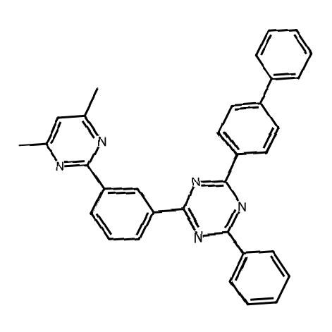 Cc1cc(C)nc(-c2cccc(-c3nc(-c4ccccc4)nc(-c4ccc(-c5ccccc5)cc4)n3)c2)n1